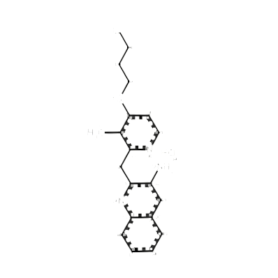 Cc1c(SCCCCl)ccnc1Cc1nc2ccccc2cc1N.Cl